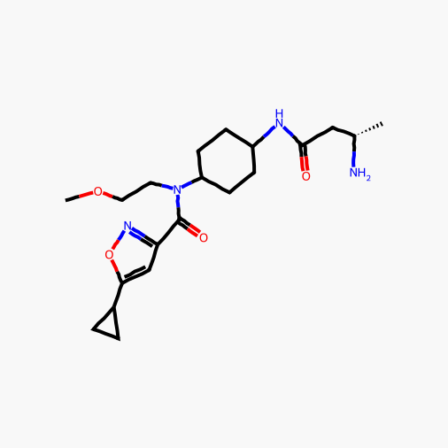 COCCN(C(=O)c1cc(C2CC2)on1)C1CCC(NC(=O)C[C@H](C)N)CC1